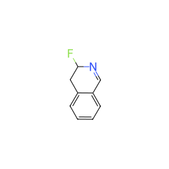 FC1Cc2ccccc2C=N1